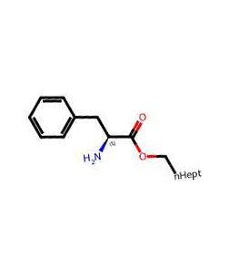 CCCCCCCCOC(=O)[C@@H](N)Cc1ccccc1